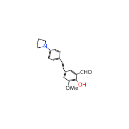 COc1cc(C=Cc2ccc(N3CCCC3)cc2)cc(C=O)c1O